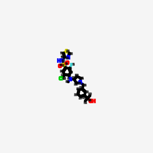 CN(c1cc(F)c(S(=O)(=O)Nc2cscn2)cc1Cl)C1CCN(Cc2cccc(C(C)(C)O)c2)C1